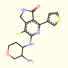 NC1COCCC1Nc1nc(-c2ccsc2)c2c(c1F)CNC2=O